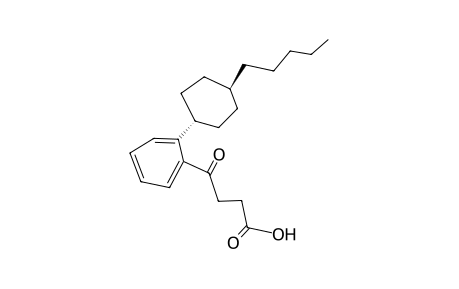 CCCCC[C@H]1CC[C@H](c2ccccc2C(=O)CCC(=O)O)CC1